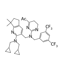 CC(=O)C1=NC(N(Cc2cc(C(F)(F)F)cc(C(F)(F)F)c2)Cc2cc3c(nc2N(CC2CC2)CC2CC2)C(C)(C)CC3)=NCC1